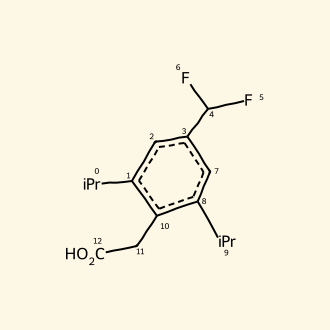 CC(C)c1cc(C(F)F)cc(C(C)C)c1CC(=O)O